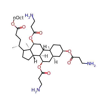 CCCCCCCCOC(=O)CC[C@@H](C)C1CC[C@H]2[C@@H]3[C@H](OC(=O)CCN)C[C@@H]4C[C@H](OC(=O)CCN)CC[C@]4(C)[C@H]3C[C@H](OC(=O)CCN)[C@]12C